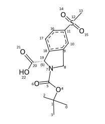 CC(C)(C)OC(=O)N1Cc2cc(S(C)(=O)=O)ccc2[C@H]1C(=O)O